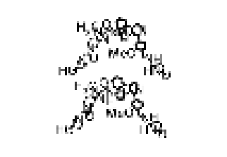 COc1cc(-c2nccc(-c3cccc(NC(=O)c4nc5c(n4C)CCN(C(=O)CN4CCC(O)C4)C5)c3Cl)c2Cl)ccc1CNCC1CCC(=O)N1.COc1cc(-c2nccc(-c3cccc(NC(=O)c4nc5c(n4C)CCN(C(=O)CN4CCC(O)C4)C5)c3Cl)c2Cl)ccc1CNCC1CCC(=O)N1